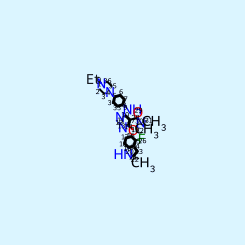 CCN1CCN(c2ccc(Nc3ncnc(Oc4ccc5[nH]c(C)cc5c4F)c3C(=O)N(C)C)cc2)CC1